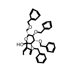 C=C/C(=C\C)C1(O)O[C@H](COCc2ccccc2)[C@@H](OCc2ccccc2)[C@H](OCc2ccccc2)[C@H]1OCc1ccccc1